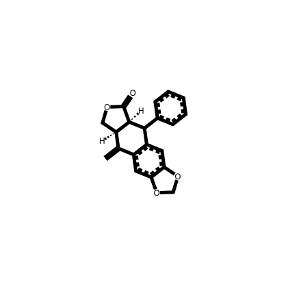 C=C1c2cc3c(cc2C(c2ccccc2)[C@@H]2C(=O)OC[C@H]12)OCO3